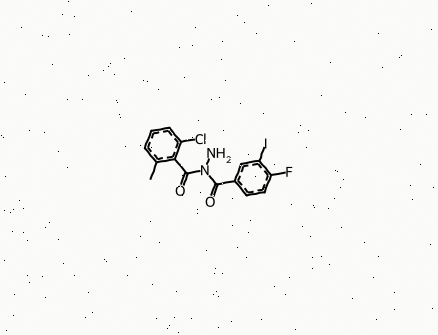 Cc1cccc(Cl)c1C(=O)N(N)C(=O)c1ccc(F)c(I)c1